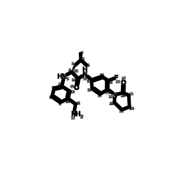 CC(C)C[C@@H](Nc1cccc(CN)c1)C(=O)Nc1ccc(N2CCCCC2=O)c(F)c1